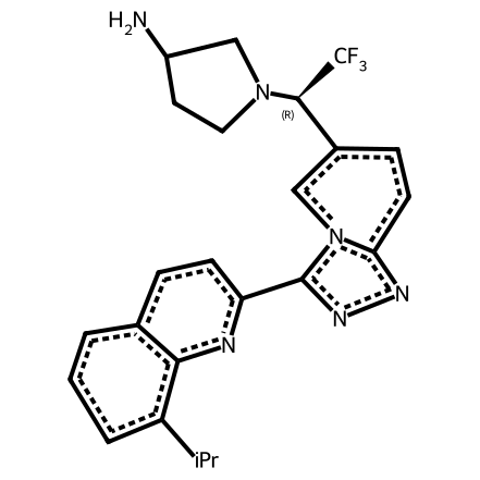 CC(C)c1cccc2ccc(-c3nnc4ccc([C@@H](N5CCC(N)C5)C(F)(F)F)cn34)nc12